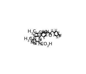 Cc1sc2c(c1C)C(c1ccc(NC(=O)Cc3ccc(F)cc3)cc1)=N[C@@H](CC(=O)O)c1nnc(C)n1-2